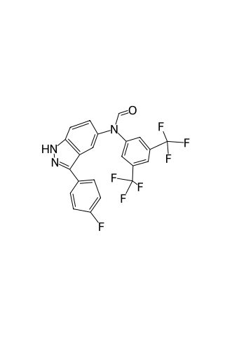 O=CN(c1cc(C(F)(F)F)cc(C(F)(F)F)c1)c1ccc2[nH]nc(-c3ccc(F)cc3)c2c1